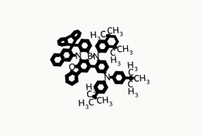 CC(C)(C)c1ccc(N(c2ccc(C(C)(C)C)cc2)c2ccc3c(c2)-c2cc4c(oc5ccccc54)c4c2B(c2cccc5c2N4c2cc4ccccc4cc2C52c4ccccc4-c4ccccc42)N3c2ccc3c(c2)C(C)(C)CCC3(C)C)cc1